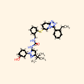 CCc1ccccc1-c1nnc2ccc(Sc3ccccc3CNC(=O)Nc3cc(C(C)(C)C)nn3-c3cccc(O)c3)cn12